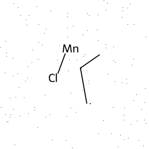 [CH2]CC.[Cl][Mn]